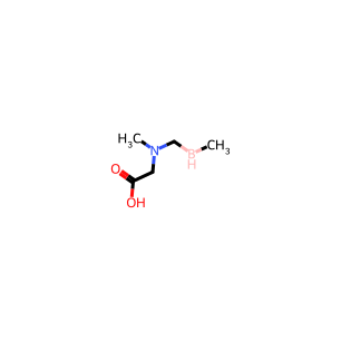 CBCN(C)CC(=O)O